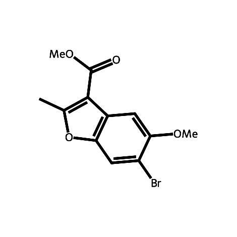 COC(=O)c1c(C)oc2cc(Br)c(OC)cc12